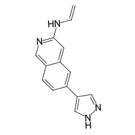 C=CNc1cc2cc(-c3cn[nH]c3)ccc2cn1